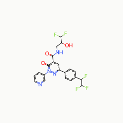 O=C(NCC(O)C(F)F)c1cc(-c2ccc(C(F)C(F)F)cc2)nn(-c2cccnc2)c1=O